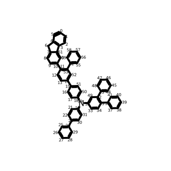 c1ccc2c(c#1)Cc1ccc(-c3ccc(-c4ccc(N(c5ccc(-c6ccccc6)cc5)c5ccc(-c6ccccc6)c(-c6ccccc6)c5)cc4)cc3-c3ccccc3)cc1-2